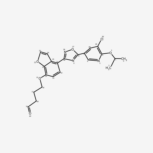 CC(C)Oc1ncc(-c2nc(-c3ccc(OCCCC=O)c4occc34)no2)cc1Cl